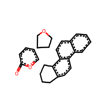 C1CCOC1.O=c1cccco1.c1ccc2c(c1)ccc1c3c(ccc12)CCCC3